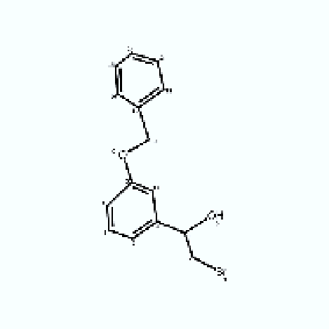 OC(CBr)c1cccc(OCc2ccccc2)c1